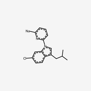 CC(C)Cc1cn(-c2ccc[c]([Na])n2)c2cc(Cl)ccc12